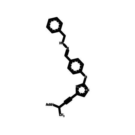 CC(=O)NC(C)C#Cc1cnc(Oc2ccc(C=NNCc3ccccc3)cc2)s1